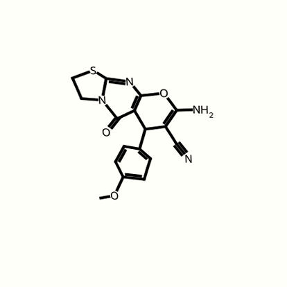 COc1ccc(C2C(C#N)=C(N)Oc3nc4n(c(=O)c32)CCS4)cc1